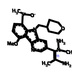 COc1ccc([S+](C)[O-])c2c1c1ncc(/C(=C(\C)N)N(C)N)cc1n2CC1CCOCC1